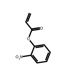 C=CC(=O)Oc1ccccc1[N+](=O)[O-]